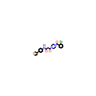 O=C(CC(=O)N1CCN(C(=O)c2ccccc2Br)CC1)Nc1ccc(C2C=CSC2)cc1